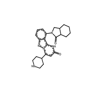 O=C1C2CCCCC2CN1c1cccc2nn3c(C4CCNCC4)cc(=O)[nH]c3c12